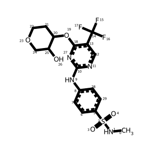 CNS(=O)(=O)c1ccc(Nc2ncc(C(F)(F)F)c(OC3CCOCC3O)n2)cc1